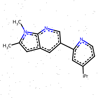 Cc1cc2cc(-c3cc(C(C)C)ccn3)cnc2n1C